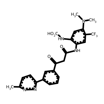 Cc1ccc(-c2cccc(C(=O)CC(=O)Nc3cc(C(F)(F)F)c(N(C)C)cc3NC(=O)O)c2)nn1